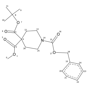 COC(=O)C1(C(=O)OC(C)(C)C)CCN(C(=O)OCc2ccccc2)CC1